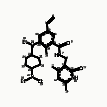 C=Cc1cc(C(=O)NCc2c(C)cc(C)[nH]c2=O)c(C)c(N(CC)C2CCC(N(CC)CC)CC2)c1